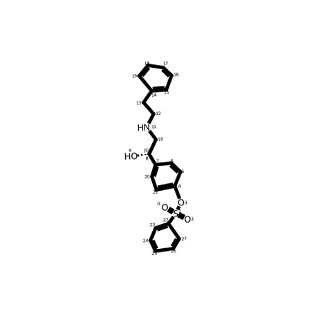 O=S(=O)(Oc1ccc([C@H](O)CNCCc2ccccc2)cc1)c1ccccc1